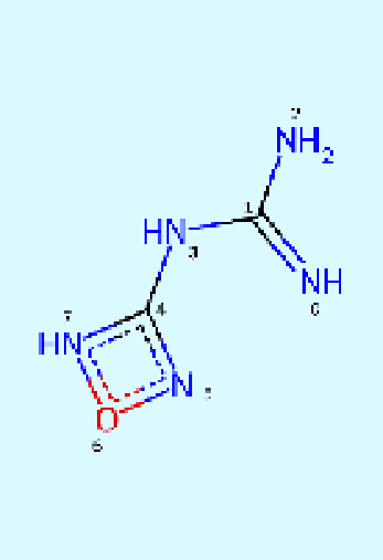 N=C(N)Nc1no[nH]1